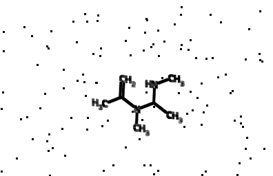 C=C(C)N(C)C(C)NC